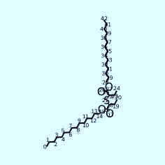 CCCCCCCCCCCCCCCOC(=O)C(CC)SC(CC)C(=O)OCCCCCCCCCCCCCCC